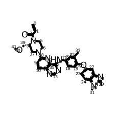 C=CC(=O)N1CCN(c2ccc3ncnc(Nc4ccc(Oc5ccc6c(c5)nnn6C)c(C)c4)c3n2)C[C@@H]1COC